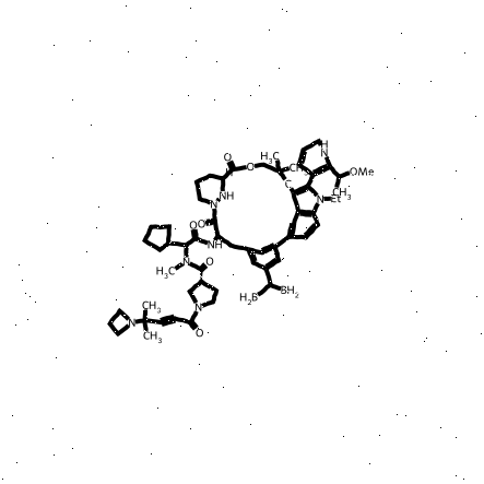 BC(B)c1cc2cc(c1)-c1ccc3c(c1)c(c(C1=C(C(C)OC)NCC=C1)n3CC)CC(C)(C)COC(=O)[C@@H]1CCCN(N1)C(=O)C(NC(=O)C(C1CCCC1)N(C)C(=O)[C@H]1CCN(C(=O)C#CC(C)(C)N3CCC3)C1)C2